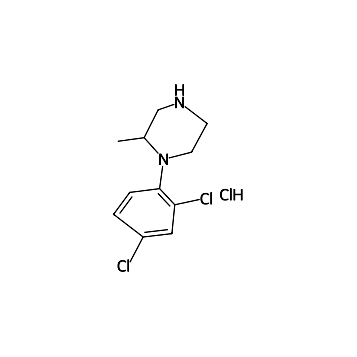 CC1CNCCN1c1ccc(Cl)cc1Cl.Cl